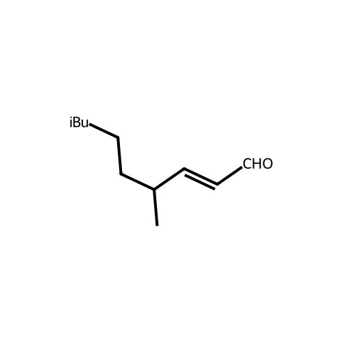 CCC(C)CCC(C)C=CC=O